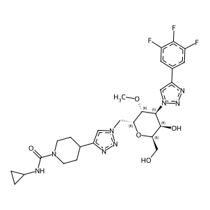 CO[C@@H]1[C@@H](n2cc(-c3cc(F)c(F)c(F)c3)nn2)[C@@H](O)[C@@H](CO)O[C@@H]1Cn1cc(C2CCN(C(=O)NC3CC3)CC2)nn1